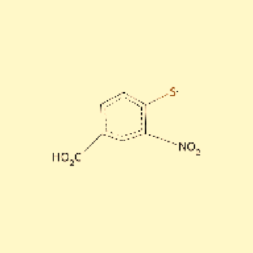 O=C(O)c1ccc([S])c([N+](=O)[O-])c1